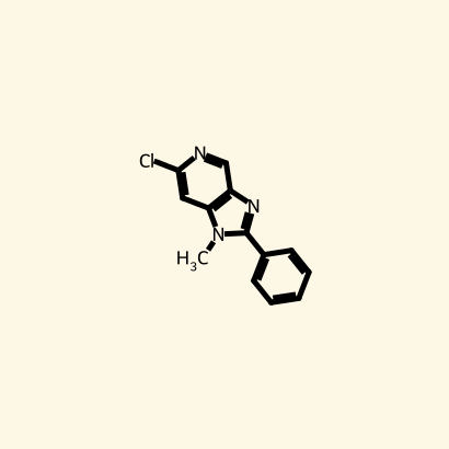 Cn1c(-c2ccccc2)nc2cnc(Cl)cc21